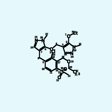 CCOc1c(COc2c(Cc3ccc(S(C)(=O)=O)c(COCC(F)(F)F)c3Cl)cnn2C)cnn1C